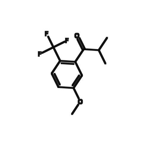 COc1ccc(C(F)(F)F)c(C(=O)C(C)C)c1